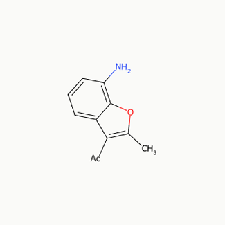 CC(=O)c1c(C)oc2c(N)cccc12